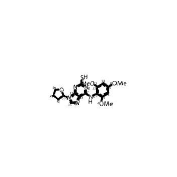 COc1cc(OC)c(Nc2nc(S)nc3c2ncn3C2CCCO2)c(OC)c1